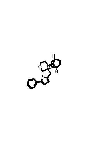 c1ccc(-c2ccc(CO[C@@H]3C[C@@H]4CC[C@H]3C4N3CCOCC3)s2)cc1